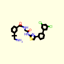 CC(C)(CN)c1cccc(C2OC2NCC(=O)Nc2nc(-c3cccc(-c4cc(Cl)cc(Cl)c4)c3)cs2)c1